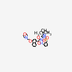 CC(C)(C)c1cc(NC(=O)C(=O)c2ccc(OCCN3CCOCC3)c3ccccc23)n(S(=O)(=O)Cc2ccccc2)n1